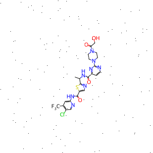 CC(NC(=O)c1ccnc(N2CCN(C(=O)CO)CC2)n1)c1ncc(C(=O)Nc2cc(C(F)(F)F)c(Cl)cn2)s1